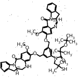 COc1cc2c(cc1OCc1cc(COc3cc4c(cc3OC)C(=O)N3c5ccccc5C[C@H]3CN4)cc(N(CC(C)(C)S)C(=O)C(C)(C)COC(C)(C)C)c1)N=C[C@@H]1Cc3ccccc3N1C2=O